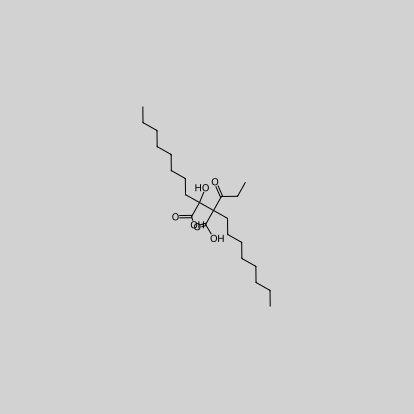 CCCCCCCCC(O)(C(=O)O)C(CCCCCCCC)(C(=O)O)C(=O)CC